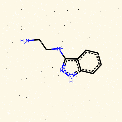 NCCNc1n[nH]c2cc[c]cc12